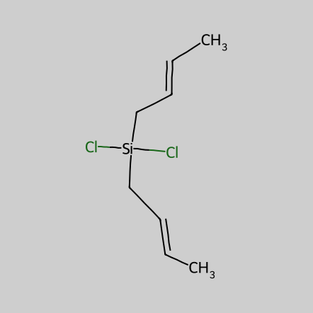 C/C=C/C[Si](Cl)(Cl)C/C=C/C